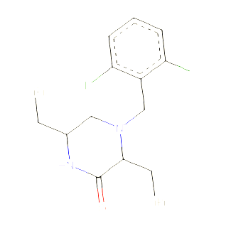 CC(C)CC1CN(Cc2c(F)cccc2F)C(CC(C)C)C(=O)N1